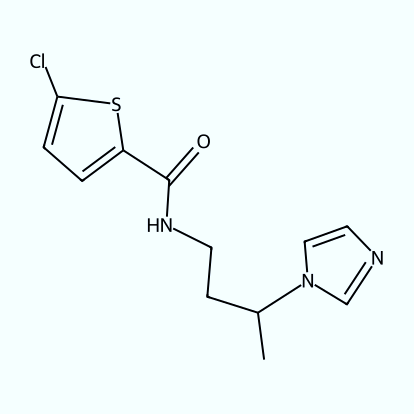 CC(CCNC(=O)c1ccc(Cl)s1)n1ccnc1